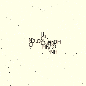 Cc1cc(C(=O)NC2(CC(=O)NO)CCNCC2)ccc1OCc1ccnc2ccccc12